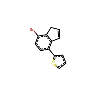 Brc1ccc(-c2cccs2)c2c1CC=C2